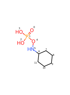 O=P(O)(O)ONC1CCCCC1